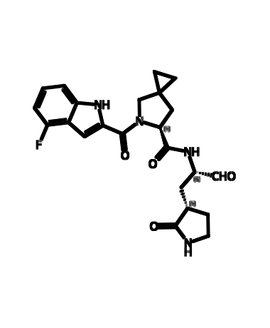 O=C[C@H](C[C@@H]1CCNC1=O)NC(=O)[C@@H]1CC2(CC2)CN1C(=O)c1cc2c(F)cccc2[nH]1